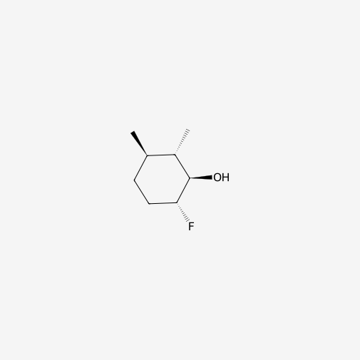 C[C@@H]1[C@@H](O)[C@H](F)CC[C@H]1C